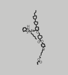 C=CC(=O)OCCCCCCOc1ccc(OC(=O)C2CCC(COc3ccc(C4CCC(C5CCC(CCC)CC5)CC4)cc3/C=N/N(CCCCCC)C3Nc4ccccc4S3)CC2)cc1